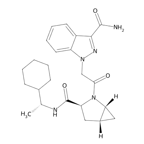 C[C@@H](NC(=O)[C@@H]1C[C@H]2C[C@H]2N1C(=O)Cn1nc(C(N)=O)c2ccccc21)C1CCCCC1